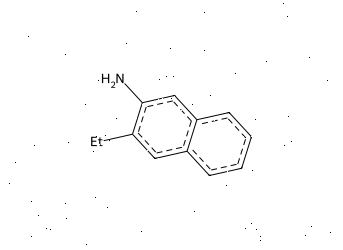 CCc1cc2ccccc2cc1N